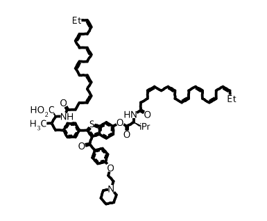 CC/C=C\C/C=C\C/C=C\C/C=C\C/C=C\C/C=C\CCC(=O)N[C@H](C(=O)Oc1ccc2c(C(=O)c3ccc(OCCN4CCCCC4)cc3)c(-c3ccc(CC(C)[C@H](NC(=O)CC/C=C\C/C=C\C/C=C\C/C=C\C/C=C\C/C=C\CC)C(=O)O)cc3)sc2c1)C(C)C